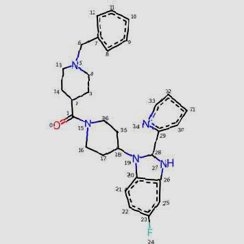 O=C(C1CCN(Cc2ccccc2)CC1)N1CCC(N2c3ccc(F)cc3NC2c2ccccn2)CC1